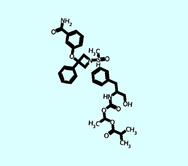 CC(OC(=O)NC(CO)Cc1cccc([SH](C)(=O)N2CC(Oc3cccc(C(N)=O)c3)(c3ccccc3)C2)c1)OC(=O)C(C)C